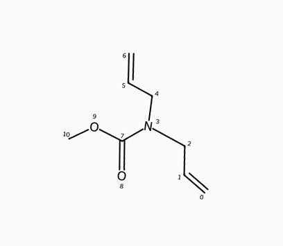 C=CCN(CC=C)C(=O)OC